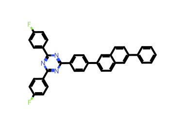 Fc1ccc(-c2nc(-c3ccc(F)cc3)nc(-c3ccc(-c4ccc5cc(-c6ccccc6)ccc5c4)cc3)n2)cc1